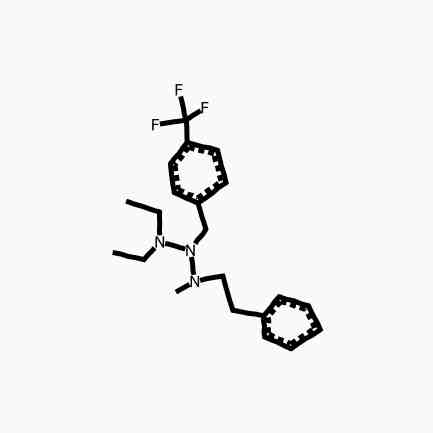 CCN(CC)N(Cc1ccc(C(F)(F)F)cc1)N(C)CCc1ccccc1